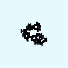 Cc1cnc(Nc2cnn(C3CC(C)(C)OC(C)(C)C3)c2)nc1-c1ccc(C(=O)N[C@@H](C)C#N)c(P)c1